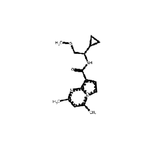 COCC(NC(=O)c1ccn2c(C)cc(C)nc12)C1CC1